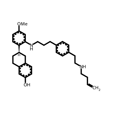 C=CCCNCCc1ccc(CCCNc2cc(OC)ccc2[C@@H]2CCc3cc(O)ccc3C2)cc1